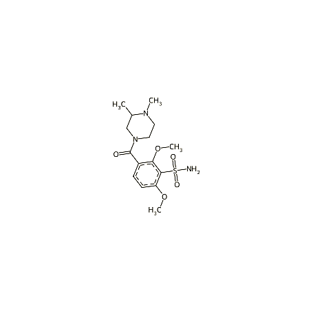 COc1ccc(C(=O)N2CCN(C)C(C)C2)c(OC)c1S(N)(=O)=O